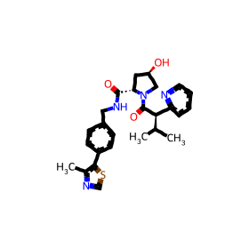 Cc1ncsc1-c1ccc(CNC(=O)[C@@H]2C[C@@H](O)CN2C(=O)[C@@H](c2ccccn2)C(C)C)cc1